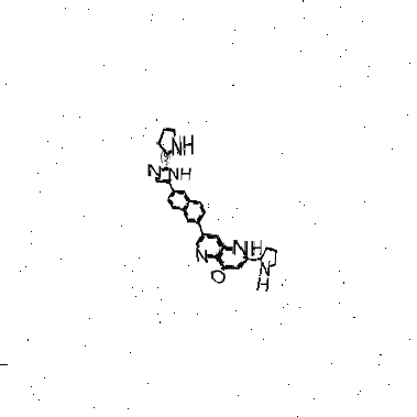 O=c1cc(C2CCCN2)[nH]c2cc(-c3ccc4cc(-c5cnc([C@@H]6CCCN6)[nH]5)ccc4c3)cnc12